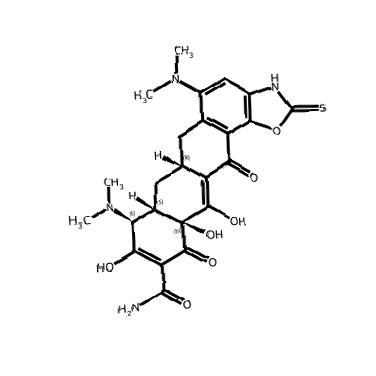 CN(C)c1cc2[nH]c(=S)oc2c2c1C[C@H]1C[C@H]3[C@H](N(C)C)C(O)=C(C(N)=O)C(=O)[C@@]3(O)C(O)=C1C2=O